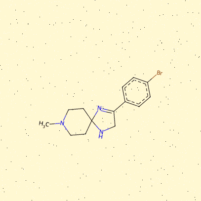 CN1CCC2(CC1)N=C(c1ccc(Br)cc1)CN2